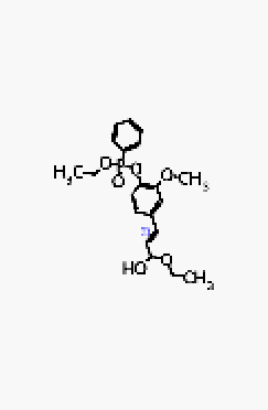 CCOC(O)/C=C/c1ccc(OP(=O)(OCC)c2ccccc2)c(OC)c1